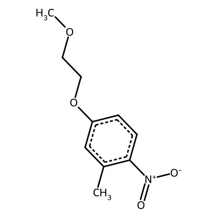 COCCOc1ccc([N+](=O)[O-])c(C)c1